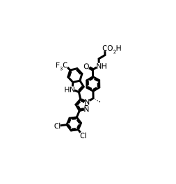 C[C@@H](c1ccc(C(=O)NCCC(=O)O)cc1)n1nc(-c2cc(Cl)cc(Cl)c2)cc1C1=CC2C=CC(C(F)(F)F)=CC2N1